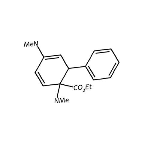 CCOC(=O)C1(NC)C=CC(NC)=CC1c1ccccc1